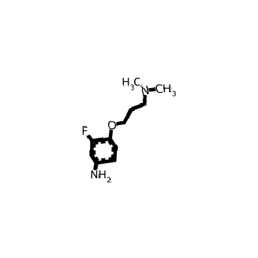 CN(C)CCCOc1ccc(N)cc1F